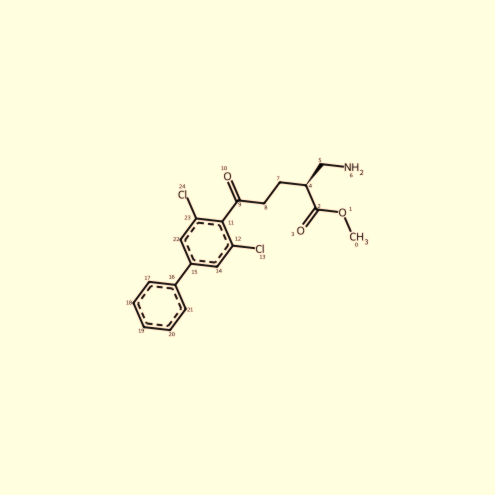 COC(=O)[C@H](CN)CCC(=O)c1c(Cl)cc(-c2ccccc2)cc1Cl